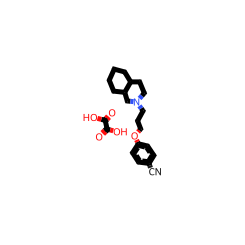 N#Cc1ccc(OCCCN2CCC3CCCCC3C2)cc1.O=C(O)C(=O)O